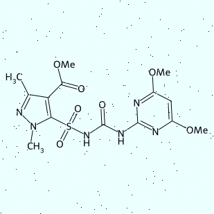 COC(=O)c1c(C)nn(C)c1S(=O)(=O)NC(=O)Nc1nc(OC)cc(OC)n1